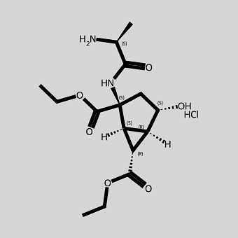 CCOC(=O)[C@H]1[C@H]2[C@@H]1[C@](NC(=O)[C@H](C)N)(C(=O)OCC)C[C@@H]2O.Cl